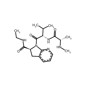 CCNC(=O)[C@@H]1Cc2cccnc2N1C(=O)[C@@H](NC(=O)[C@H](C)NC)C(C)C